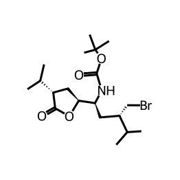 CC(C)[C@@H](CBr)C[C@H](NC(=O)OC(C)(C)C)[C@@H]1C[C@@H](C(C)C)C(=O)O1